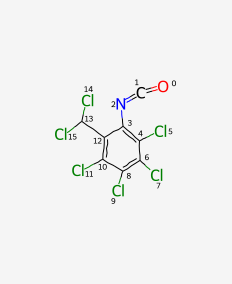 O=C=Nc1c(Cl)c(Cl)c(Cl)c(Cl)c1C(Cl)Cl